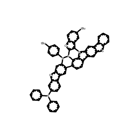 CC(C)(C)c1ccc(N2B3c4oc5ccc(C(C)(C)C)cc5c4-n4c5cc6c(cc5c5ccc(c3c54)-c3cc4c(cc32)oc2cc(N(c3ccccc3)c3ccccc3)ccc24)sc2ccccc26)cc1